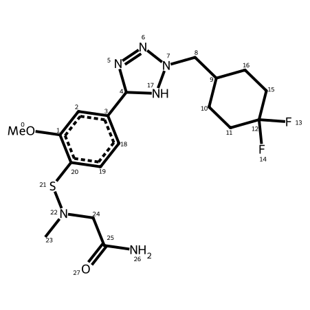 COc1cc(C2N=NN(CC3CCC(F)(F)CC3)N2)ccc1SN(C)CC(N)=O